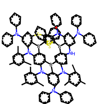 Cc1cc(C)c(N2c3cc4c(cc3B3c5sc6ccccc6c5Sc5cc(N(c6ccccc6)c6ccccc6)cc2c53)B2c3cc5c(cc3N(c3c(C)cc(C)cc3C)c3cc(N(c6ccccc6)c6ccccc6)cc(c32)N4c2c(C)cc(C)cc2C)Nc2cc(N(c3ccccc3)c3ccccc3)cc3c2B5c2sc4ccccc4c2N3c2ccccc2)c(C)c1